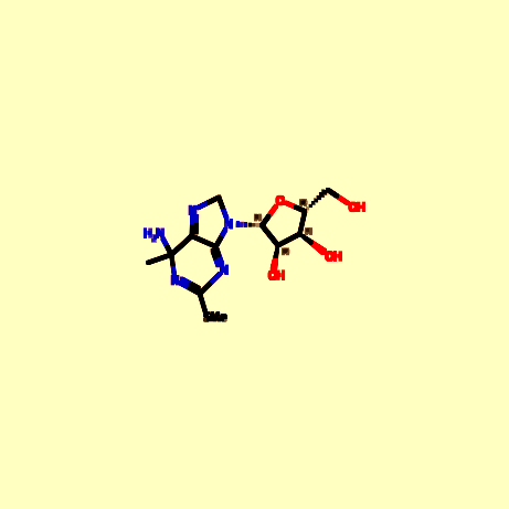 CSC1=NC(C)(N)C2=NCN([C@@H]3O[C@H](CO)[C@@H](O)[C@H]3O)C2=N1